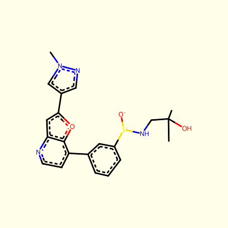 Cn1cc(-c2cc3nccc(-c4cccc([S+]([O-])NCC(C)(C)O)c4)c3o2)cn1